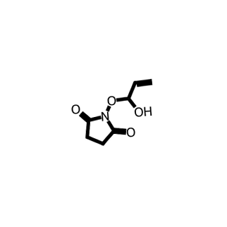 C=CC(O)ON1C(=O)CCC1=O